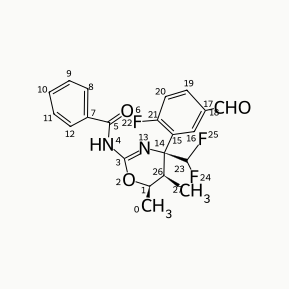 C[C@H]1OC(NC(=O)c2ccccc2)=N[C@@](c2cc(C=O)ccc2F)(C(F)F)[C@H]1C